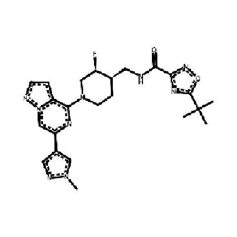 Cn1cc(-c2cn3nccc3c(N3CC[C@H](CNC(=O)c4noc(C(C)(C)C)n4)[C@H](F)C3)n2)cn1